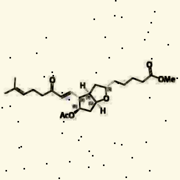 COC(=O)CCCC[C@H]1C[C@@H]2[C@@H](/C=C/C(=O)CCC=C(C)C)[C@H](OC(C)=O)C[C@@H]2O1